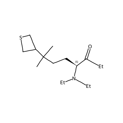 CCC(=O)[C@H](CCC(C)(C)C1CSC1)N(CC)CC